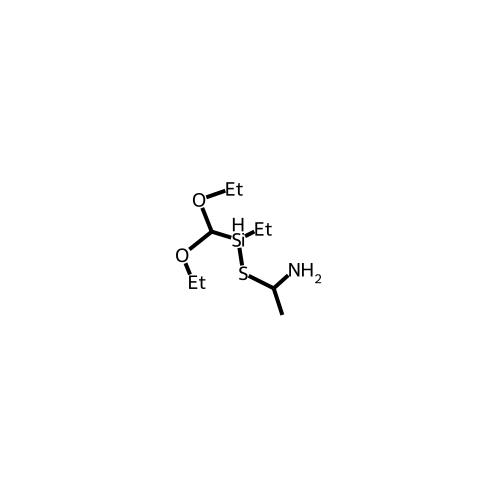 CCOC(OCC)[SiH](CC)SC(C)N